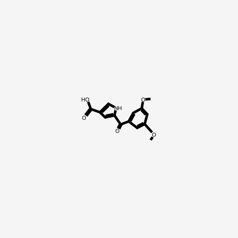 COc1cc(OC)cc(C(=O)c2cc(C(=O)O)c[nH]2)c1